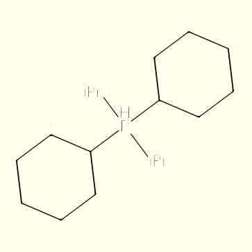 CC(C)[PH](C(C)C)(C1CCCCC1)C1CCCCC1